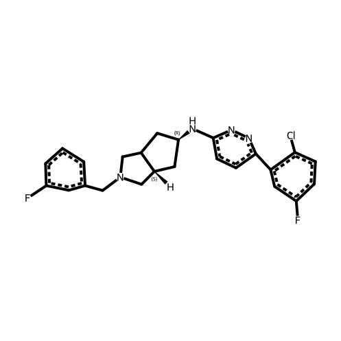 Fc1cccc(CN2CC3C[C@@H](Nc4ccc(-c5cc(F)ccc5Cl)nn4)C[C@@H]3C2)c1